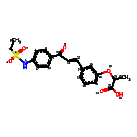 CCS(=O)(=O)Nc1ccc(C(=O)/C=C/c2cccc(OC(C)C(=O)O)c2)cc1